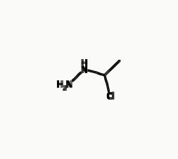 CC(Cl)NN